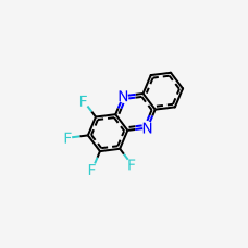 Fc1c(F)c(F)c2nc3ccccc3nc2c1F